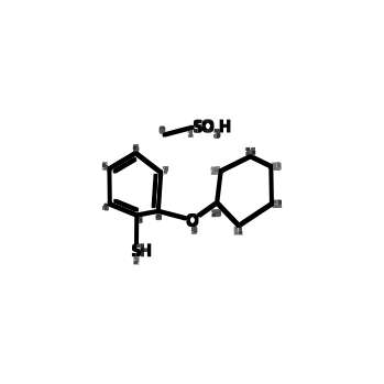 CS(=O)(=O)O.Sc1ccccc1OC1CCCCC1